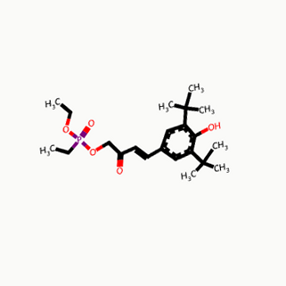 CCOP(=O)(CC)OCC(=O)C=Cc1cc(C(C)(C)C)c(O)c(C(C)(C)C)c1